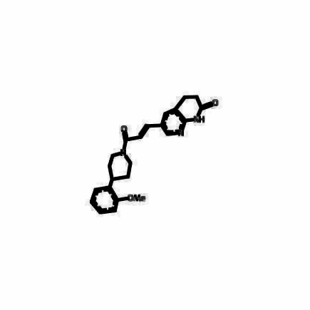 COc1ccccc1C1CCN(C(=O)/C=C/c2cnc3c(c2)CCC(=O)N3)CC1